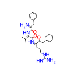 CC(C)[C@H](NC(=O)[C@@H](N)Cc1ccccc1)C(=O)N[C@@H](CCCNC(=N)N)C(=O)[CH]c1ccccc1